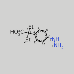 CCC(CC)(C(=O)O)c1ccc(NN)cc1